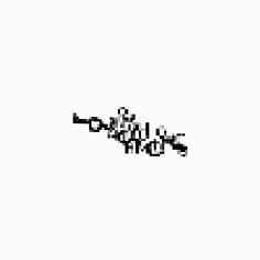 CC(O)C(=O)NC(C)C(Oc1ccc(C(=O)N[C@H]2CCCN(C(=O)[C@H]3COC(=O)C3)C2)nc1)c1ccc(C2CC2)cc1